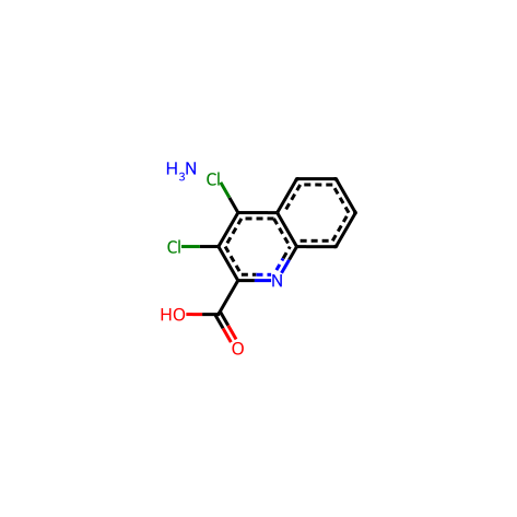 N.O=C(O)c1nc2ccccc2c(Cl)c1Cl